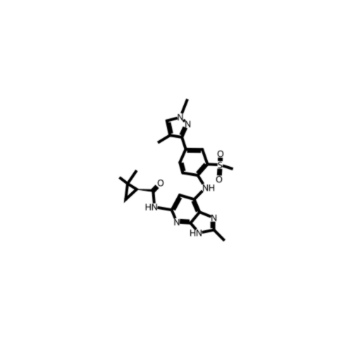 Cc1nc2c(Nc3ccc(-c4nn(C)cc4C)cc3S(C)(=O)=O)cc(NC(=O)[C@H]3CC3(C)C)nc2[nH]1